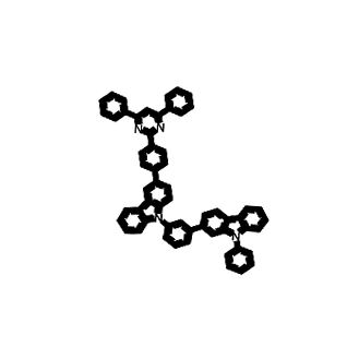 c1ccc(-c2cc(-c3ccccc3)nc(-c3ccc(-c4ccc5c(c4)c4ccccc4n5-c4cccc(-c5ccc6c7ccccc7n(-c7ccccc7)c6c5)c4)cc3)n2)cc1